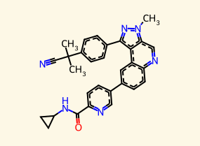 Cn1nc(-c2ccc(C(C)(C)C#N)cc2)c2c3cc(-c4ccc(C(=O)NC5CC5)nc4)ccc3ncc21